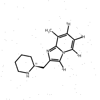 [2H]c1c([2H])c([2H])n2c([2H])c(C[C@@H]3CCCCN3)nc2c1C